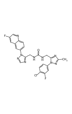 Cc1nc(CNC(=O)NCc2ncnn2-c2ccc3ncc(F)cc3c2)n(-c2ccc(Cl)c(F)c2)n1